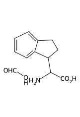 NC(C(=O)O)C1CCc2ccccc21.O=CO